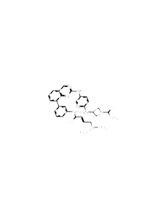 CC(=O)N1CC(Nc2ccc(Nc3ncc4cccc(-c5cccc(NC(=O)/C=C/CN(C)C)c5)c4n3)cn2)C1